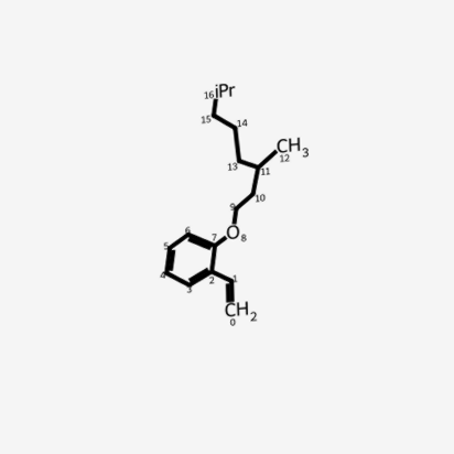 C=Cc1ccccc1OCCC(C)CCCC(C)C